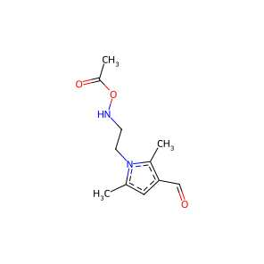 CC(=O)ONCCn1c(C)cc(C=O)c1C